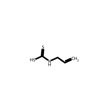 C=CCNC(=S)S